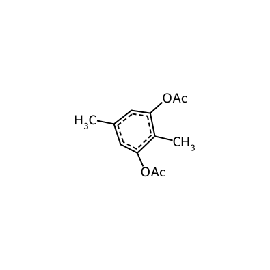 CC(=O)Oc1cc(C)cc(OC(C)=O)c1C